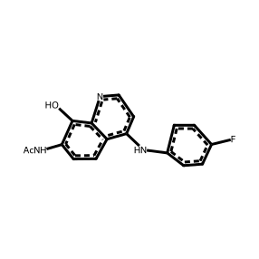 CC(=O)Nc1ccc2c(Nc3ccc(F)cc3)ccnc2c1O